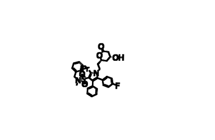 CC(C)c1c(S(=O)(=O)N(C)Cc2ccccc2)c(-c2ccccc2)c(-c2ccc(F)cc2)n1CC[C@@H]1C[C@@H](O)CC(=O)O1